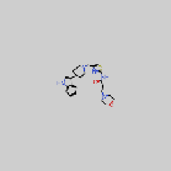 O=C(CCN1CCOCC1)Nc1nc(CN2CCC(c3c[nH]c4ccccc34)CC2)cs1